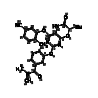 CCC(C)C1Oc2nc(Oc3cccc(C(=O)N(C)C)c3)nc(Oc3cc(C#N)ccc3C)c2NC1=O